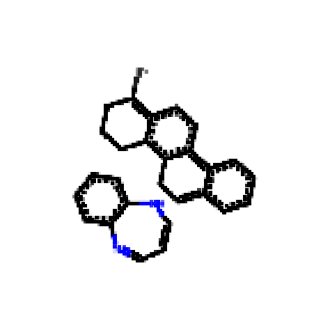 C1=CNc2ccccc2N=C1.CC(C)C1=c2ccc3c(c2CCC1)CC=c1ccccc1=3